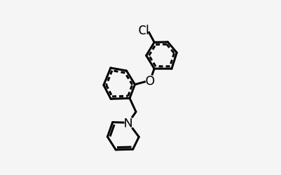 Clc1cccc(Oc2ccccc2CN2C=CC=CC2)c1